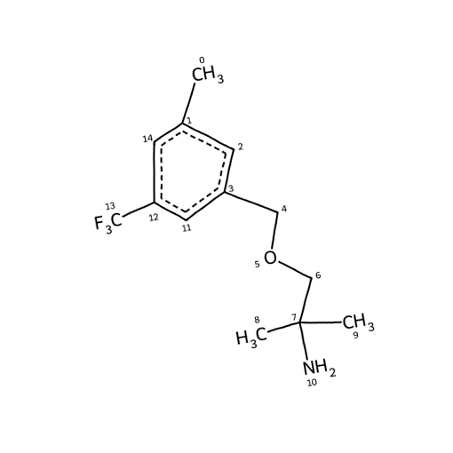 Cc1cc(COCC(C)(C)N)cc(C(F)(F)F)c1